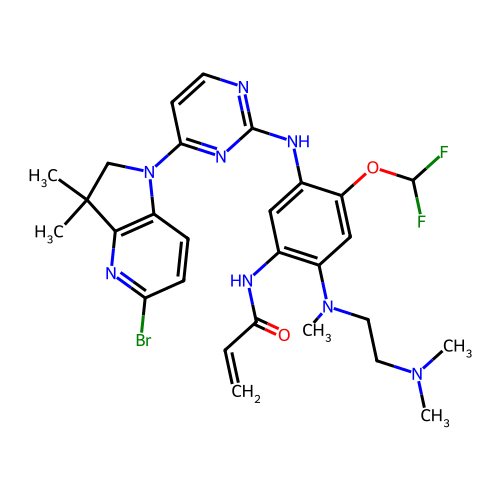 C=CC(=O)Nc1cc(Nc2nccc(N3CC(C)(C)c4nc(Br)ccc43)n2)c(OC(F)F)cc1N(C)CCN(C)C